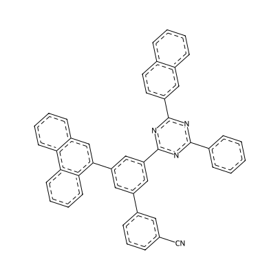 N#Cc1cccc(-c2cc(-c3nc(-c4ccccc4)nc(-c4ccc5ccccc5c4)n3)cc(-c3cc4ccccc4c4ccccc34)c2)c1